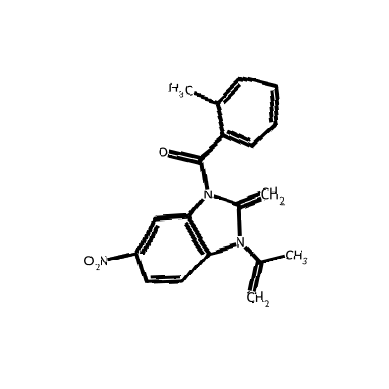 C=C(C)N1C(=C)N(C(=O)c2ccccc2C)c2cc([N+](=O)[O-])ccc21